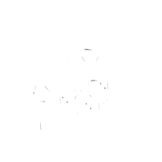 CCCC[C@H](NC(=O)[C@H](C)NC(=O)Cc1cc(F)cc(F)c1)C(=O)NCc1ccccc1